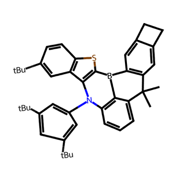 CC(C)(C)c1cc(N2c3cccc4c3B(c3cc5c(cc3C4(C)C)CC5)c3sc4ccc(C(C)(C)C)cc4c32)cc(C(C)(C)C)c1